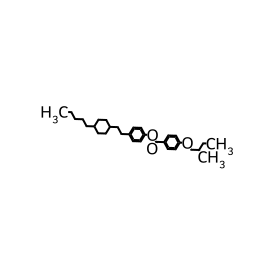 CCCCCC1CCC(CCc2ccc(OC(=O)c3ccc(OCC(C)CC)cc3)cc2)CC1